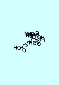 O=C(O)CSCCCC(P(=O)(O)O)P(=O)(O)O.[NaH].[NaH]